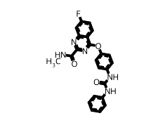 CNC(=O)c1nc(Oc2ccc(NC(=O)Nc3ccccc3)cc2)c2ccc(F)cc2n1